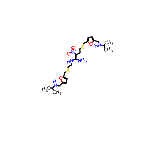 CC(C)NCc1ccc(CSCCNC(N)=C(CCSCc2ccc(CNC(C)C)o2)[N+](=O)[O-])o1